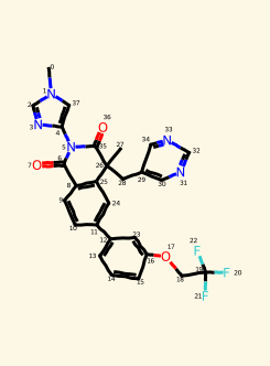 Cn1cnc(N2C(=O)c3ccc(-c4cccc(OCC(F)(F)F)c4)cc3C(C)(Cc3cncnc3)C2=O)c1